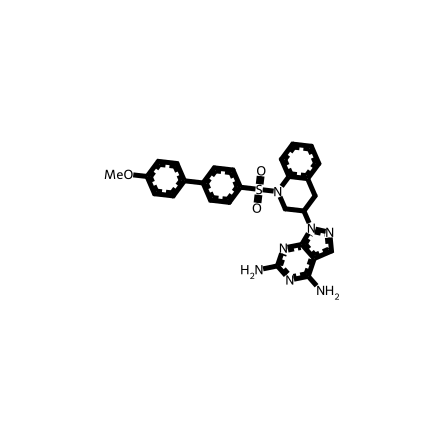 COc1ccc(-c2ccc(S(=O)(=O)N3CC(n4ncc5c(N)nc(N)nc54)Cc4ccccc43)cc2)cc1